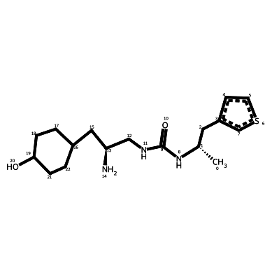 C[C@@H](Cc1ccsc1)NC(=O)NC[C@@H](N)CC1CCC(O)CC1